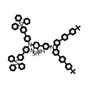 CC(C)(C)c1ccc(-c2ccc(-c3ccc4c(c3)c3cc(-c5ccc(-c6ccc(C(C)(C)C)cc6)cc5)ccc3n4-c3ccc(C4=CC=C(N(c5ccc(-c6ccc([Si](c7ccccc7)(c7ccccc7)c7ccccc7)cc6)cc5)c5ccc(-c6ccc(S(c7ccccc7)(c7ccccc7)c7ccccc7)cc6)cc5)/C(=N/S)C4=N)cc3)cc2)cc1